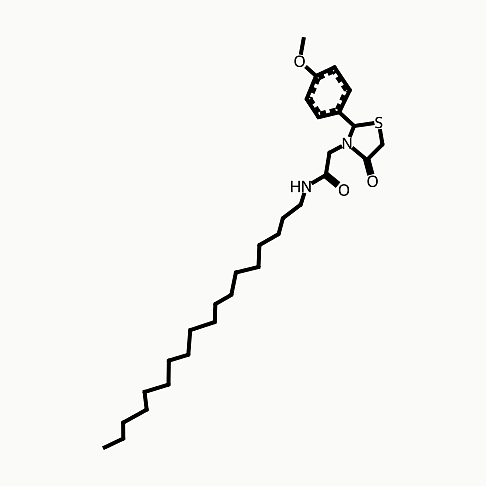 CCCCCCCCCCCCCCCCCCNC(=O)CN1C(=O)CSC1c1ccc(OC)cc1